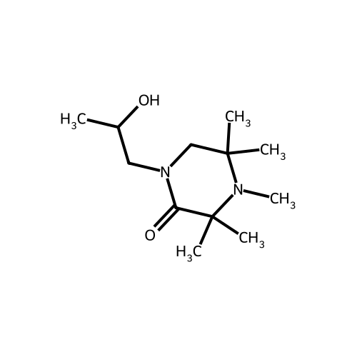 CC(O)CN1CC(C)(C)N(C)C(C)(C)C1=O